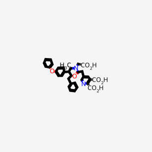 CC(C(CCc1ccccc1)c1ccc(Oc2ccccc2)cc1)N(CC(=O)O)C(=O)Cc1cnc(C(=O)O)c(C(=O)O)c1